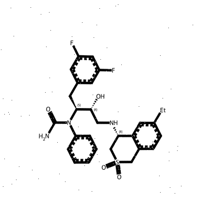 CCc1ccc2c(c1)[C@@H](NC[C@@H](O)[C@H](Cc1cc(F)cc(F)c1)N(C(N)=O)c1ccccc1)CS(=O)(=O)C2